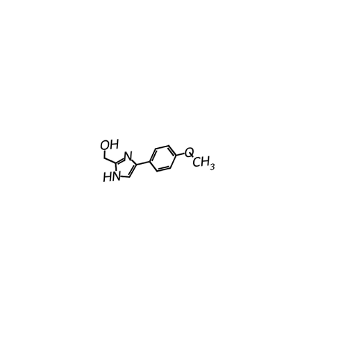 COc1ccc(-c2c[nH]c(CO)n2)cc1